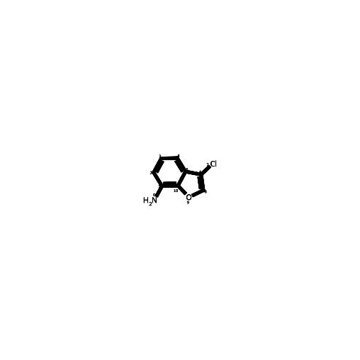 Nc1cccc2c(Cl)coc12